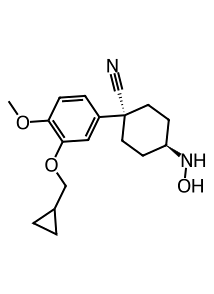 COc1ccc([C@]2(C#N)CC[C@H](NO)CC2)cc1OCC1CC1